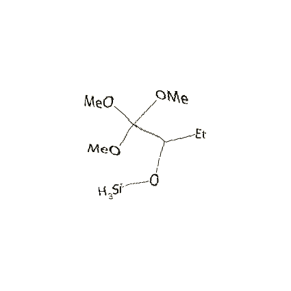 CCC(O[SiH3])C(OC)(OC)OC